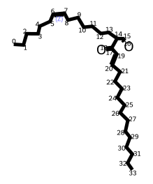 CCCCCC/C=C\CCCCCCC([C]=O)C(=O)C=CCCCCCCCCCCCCC